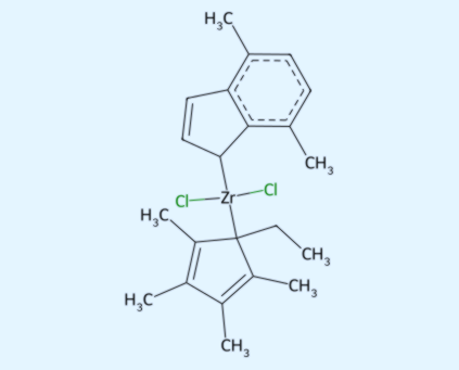 CC[C]1([Zr]([Cl])([Cl])[CH]2C=Cc3c(C)ccc(C)c32)C(C)=C(C)C(C)=C1C